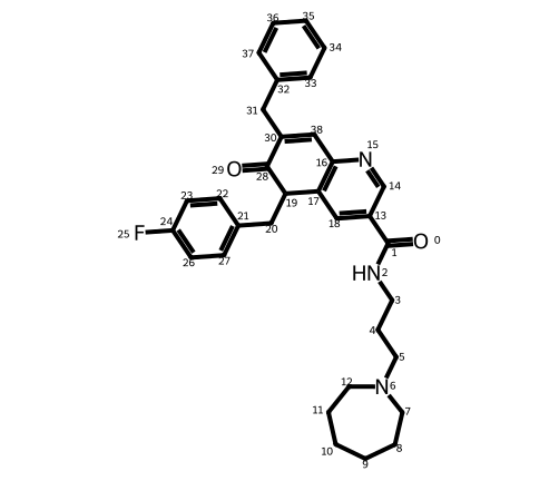 O=C(NCCCN1CCCCCC1)c1cnc2c(c1)C(Cc1ccc(F)cc1)C(=O)C(Cc1ccccc1)=C2